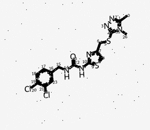 Cc1nnc(SCc2csc(NC(=O)NCc3ccc(Cl)c(Cl)c3)n2)n1C